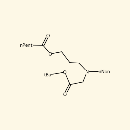 CCCCCCCCCN(CCCOC(=O)CCCCC)CC(=O)OC(C)(C)C